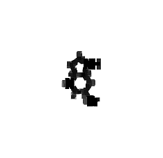 Brc1cnc2c[c][nH]c2c1